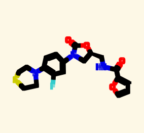 O=C(NC[C@H]1CN(c2ccc(N3CCSCC3)c(F)c2)C(=O)O1)c1[c]cco1